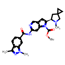 Cc1nn(C)c2cc(C(=O)Nc3cc4c(cn3)cc([C@H]3CC5(CC5)CN3C)n4C(=O)OC(C)(C)C)ccc12